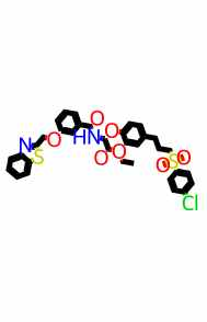 CCOC(=O)C(NC(=O)c1cccc(OCc2nc3ccccc3s2)c1)Oc1ccc(CCCS(=O)(=O)c2ccc(Cl)cc2)cc1